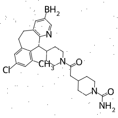 Bc1cnc2c(c1)CCc1cc(Cl)cc(C)c1C2C1CCN(C(=O)CC2CCN(C(N)=O)CC2)CC1